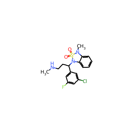 CNCCC(c1cc(F)cc(Cl)c1)N1c2ccccc2N(C)S1(=O)=O